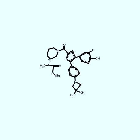 CN(C(=O)OC(C)(C)C)[C@@H]1CCCN(C(=O)c2cc(-c3ccc(C#N)c(F)c3)c(-c3ccc(N4CC(C)(O)C4)cc3)s2)C1